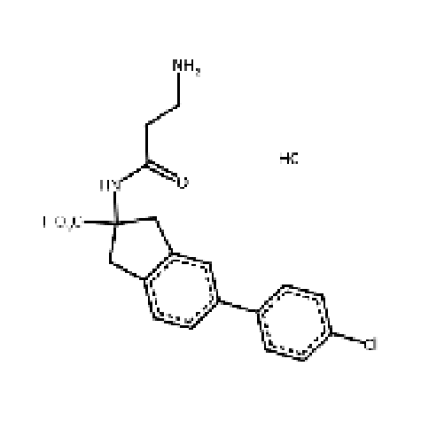 Cl.NCCC(=O)NC1(C(=O)O)Cc2ccc(-c3ccc(Cl)cc3)cc2C1